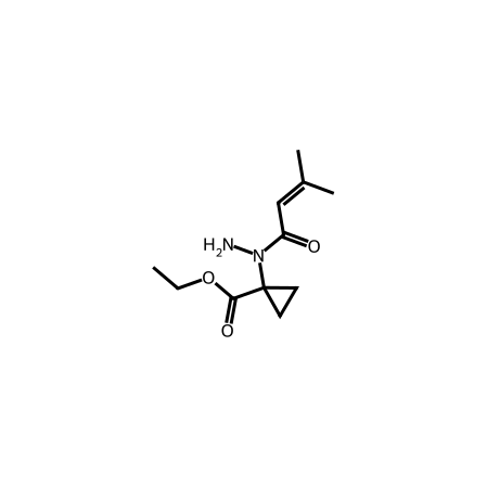 CCOC(=O)C1(N(N)C(=O)C=C(C)C)CC1